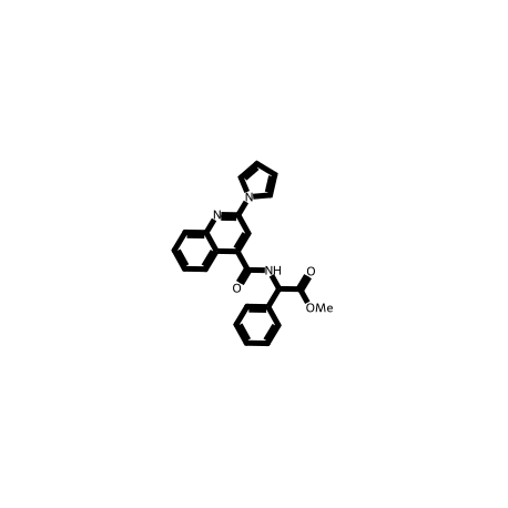 COC(=O)C(NC(=O)c1cc(-n2cccc2)nc2ccccc12)c1ccccc1